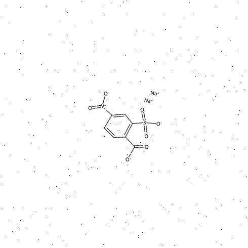 O=C([O-])c1ccc([N+](=O)[O-])cc1S(=O)(=O)[O-].[Na+].[Na+]